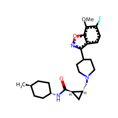 COc1c(F)ccc2c(C3CCN(C[C@@H]4C[C@H]4C(=O)N[C@H]4CC[C@H](C)CC4)CC3)noc12